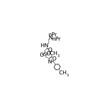 CCCN(CCC)CCNC(=O)CS(=O)(=O)Cc1nc(-c2ccc(C)cc2)oc1C